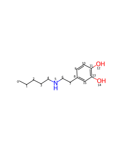 CCCCCNCCc1ccc(O)c(O)c1